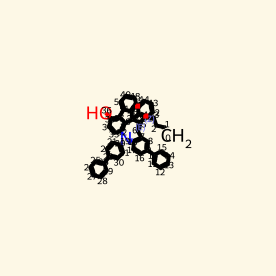 C=CC/C=C\C1=C/c2cc(-c3ccccc3)ccc2N(c2ccc(-c3ccccc3)cc2)c2ccc(O)c3c2C1(c1ccccc1)c1ccccc1-3